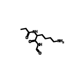 CCC(=O)NC(CCCCN)C(=O)NC=O